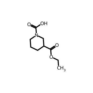 CCOC(=O)C1CCCN(C(=O)O)C1